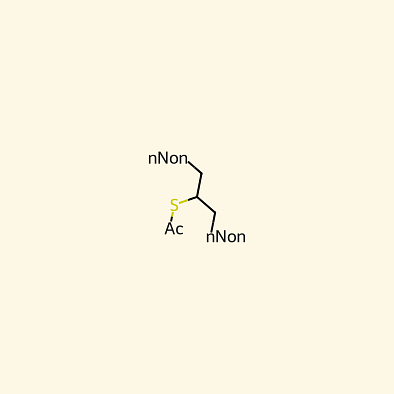 CCCCCCCCCCC(CCCCCCCCCC)SC(C)=O